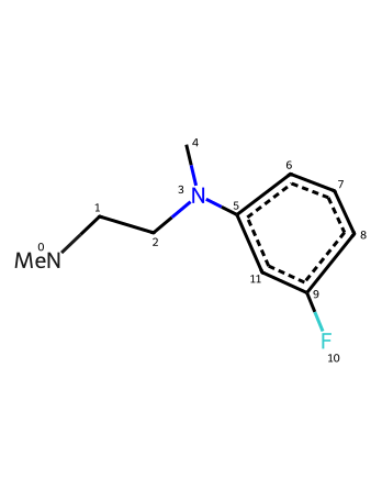 CNCCN(C)c1cccc(F)c1